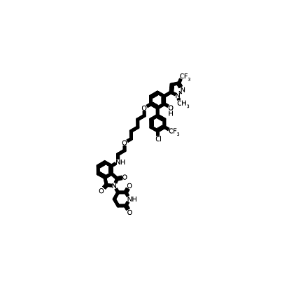 Cn1nc(C(F)(F)F)cc1-c1ccc(OCCCCCOCCNc2cccc3c2C(=O)N(C2CCC(=O)NC2=O)C3=O)c(-c2ccc(Cl)c(C(F)(F)F)c2)c1O